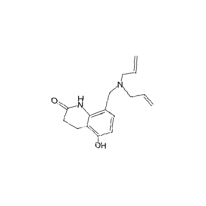 C=CCN(CC=C)Cc1ccc(O)c2c1NC(=O)CC2